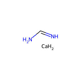 N=CN.[CaH2]